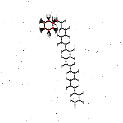 II(I)I(I)I(I)I(I)I(I)I(I)I(I)I(I)I(I)I(I)I(I)I(I)I(I)I(I)I(I)I(I)I(I)I(I)I(I)I(I)I(I)I(I)I(I)I(I)I(I)I(I)I(I)I(I)I(I)I(I)I(I)I(I)I(I)I(I)I(I)I(I)I(I)I(I)I(I)I(I)I(I)I(I)I(I)I(I)I(I)I(I)I(I)I(I)I(I)I